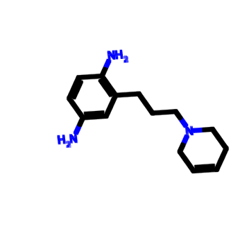 Nc1ccc(N)c(CCCN2CC=CCC2)c1